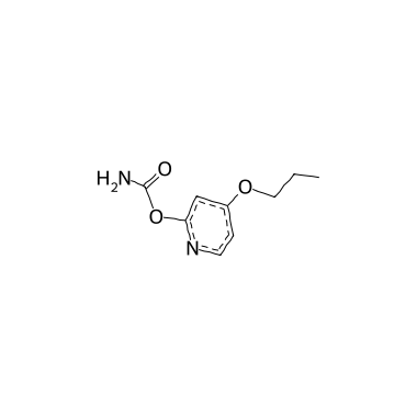 CCCOc1ccnc(OC(N)=O)c1